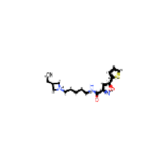 N#CCC1CN(CCCCCNC(=O)c2cc(-c3cccs3)on2)C1